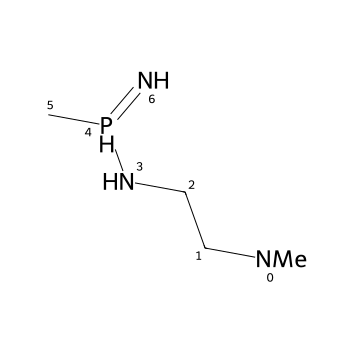 CNCCN[PH](C)=N